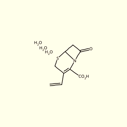 C=CC1=C(C(=O)O)N2C(=O)CC2SC1.O.O.O